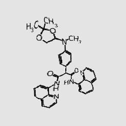 CN(c1ccc(C(C(=O)Nc2cccc3cccnc23)C(=O)Nc2cccc3cccnc23)cc1)C1COC(C)(C)O1